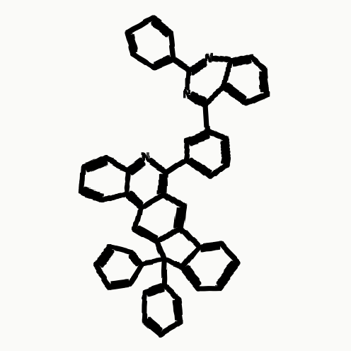 c1ccc(-c2nc(-c3cccc(-c4nc5ccccc5c5cc6c(cc45)-c4ccccc4C6(c4ccccc4)c4ccccc4)c3)c3ccccc3n2)cc1